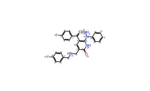 C=C(c1ccc(F)cc1)c1cc(CNCc2ccc(F)cc2)c(=O)[nH]c1N(N)c1ccccc1